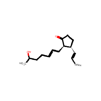 CCCCCCC=C[C@H]1CCC(=O)[C@@H]1CC=CCCC(O)C(=O)O